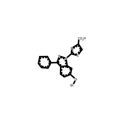 CCOc1ccc2c(-c3ccccc3)nn(-c3nc(C(=O)O)cs3)c2c1